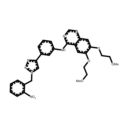 COCCOc1cc2ncnc(Nc3cccc(-c4cn(Cc5ccccc5[N+](=O)[O-])nn4)c3)c2cc1OCCOC